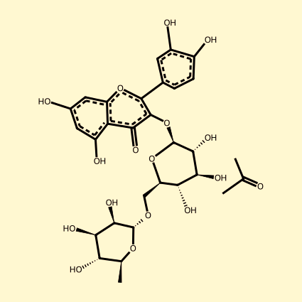 CC(C)=O.C[C@@H]1O[C@@H](OC[C@H]2O[C@@H](Oc3c(-c4ccc(O)c(O)c4)oc4cc(O)cc(O)c4c3=O)[C@H](O)[C@@H](O)[C@@H]2O)[C@H](O)[C@H](O)[C@H]1O